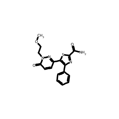 COCCn1nc(-c2sc(C(N)=O)nc2-c2ccccc2)ccc1=O